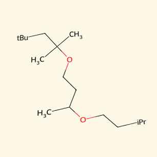 CC(C)CCOC(C)CCOC(C)(C)CC(C)(C)C